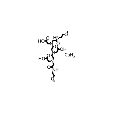 COCCNC(=O)CN(CCN(CCN(CC(=O)O)CC(=O)NCCOC)CC(=O)O)CC(=O)O.[CaH2]